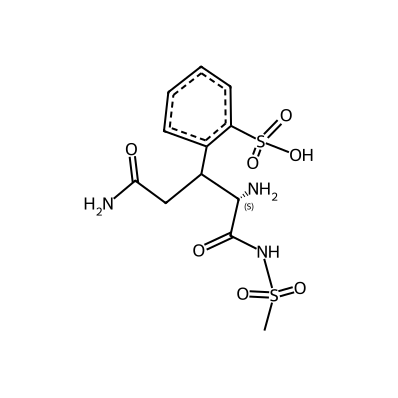 CS(=O)(=O)NC(=O)[C@@H](N)C(CC(N)=O)c1ccccc1S(=O)(=O)O